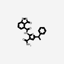 CC(c1ccccc1)c1cc(C(N)=O)c(NC(=O)c2cccc3c2C(=O)N=N3)s1